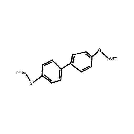 CCCCCCCCCCOc1ccc(-c2ccc(SCCCCCCCCCC)cc2)cc1